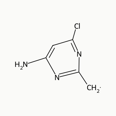 [CH2]c1nc(N)cc(Cl)n1